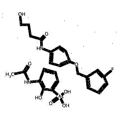 CC(=O)Nc1cccc([As](=O)(O)O)c1O.O=C(CCCO)Nc1ccc(OCc2cccc(F)c2)cc1